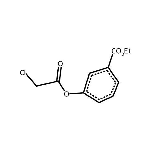 CCOC(=O)c1cccc(OC(=O)CCl)c1